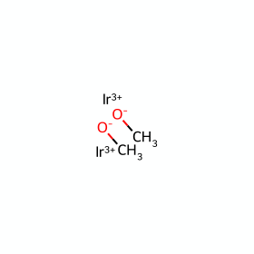 C[O-].C[O-].[Ir+3].[Ir+3]